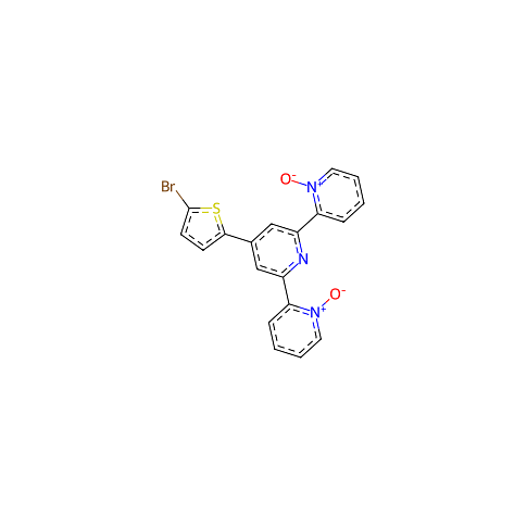 [O-][n+]1ccccc1-c1cc(-c2ccc(Br)s2)cc(-c2cccc[n+]2[O-])n1